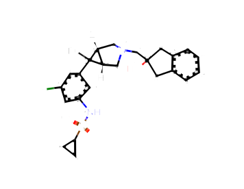 CCC1(c2cc(F)cc(NS(=O)(=O)C3CC3)c2)[C@@H]2CN(CC3(O)Cc4ccccc4C3)C[C@@H]21